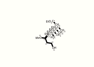 CCOC(C)=O.CCOC(C)=O.CCOC(C)=O.CCOC(C)=O.CCOC(C)=O.COC(=O)CCO